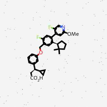 COc1cc(-c2cc(F)c(COc3cccc([C@H](CC(=O)O)C4CC4)c3)cc2[C@H]2CCCC2(C)C)c(F)cn1